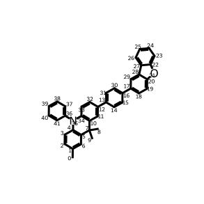 Cc1ccc2c(c1)C(C)(C)c1cc(-c3ccc(-c4ccc5oc6ccccc6c5c4)cc3)ccc1N2c1ccccc1